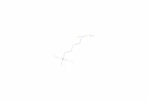 CCC(C)(C)CCCCNOC